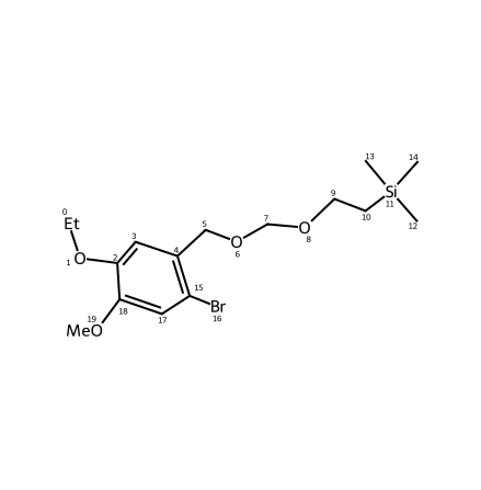 CCOc1cc(COCOCC[Si](C)(C)C)c(Br)cc1OC